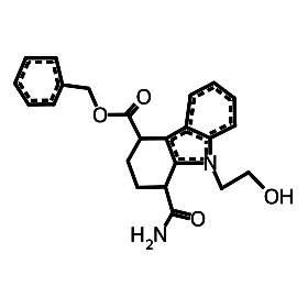 NC(=O)C1CCC(C(=O)OCc2ccccc2)c2c1n(CCO)c1ccccc21